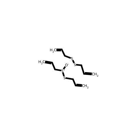 C=CCSSCC=C.C=CCS[S+]([O-])CC=C